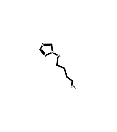 CCCCCNn1cncn1